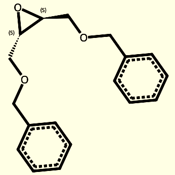 c1ccc(COC[C@@H]2O[C@H]2COCc2ccccc2)cc1